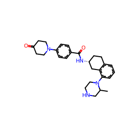 CC1CNCCN1c1cccc2c1C[C@H](NC(=O)c1ccc(N3CCC(=O)CC3)cc1)CC2